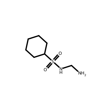 NCNS(=O)(=O)C1CCCCC1